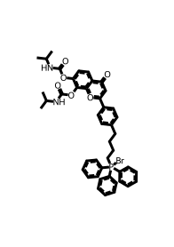 CC(C)NC(=O)Oc1ccc2c(=O)cc(-c3ccc(CCCCP(Br)(c4ccccc4)(c4ccccc4)c4ccccc4)cc3)oc2c1OC(=O)NC(C)C